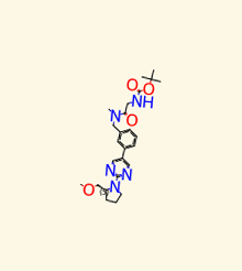 COC[C@@H]1CCCN1c1ncc(-c2cccc(CN(C)C(=O)CNC(=O)OC(C)(C)C)c2)cn1